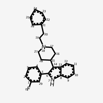 Fc1cccc(-c2[nH]c3ccccc3c2C2CCN(CCc3ccccc3)CC2)c1